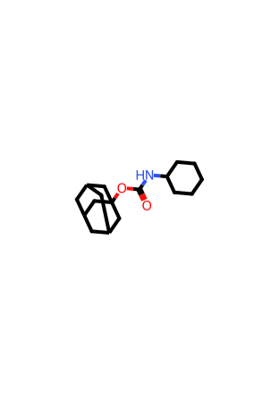 O=C(NC1CCCCC1)OC12CC3CC(CC(C3)C1)C2